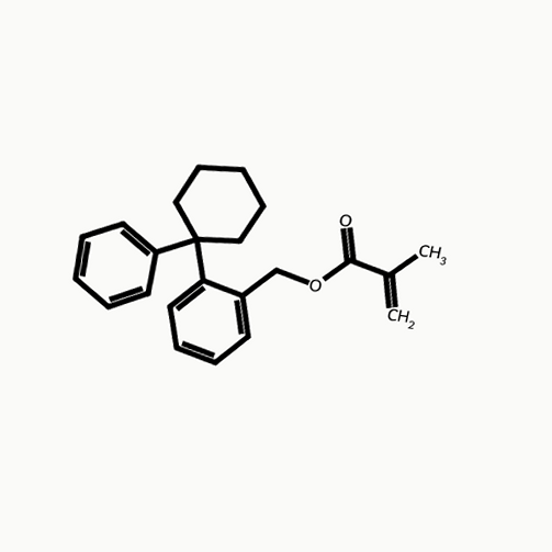 C=C(C)C(=O)OCc1ccccc1C1(c2ccccc2)CCCCC1